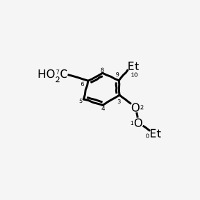 CCOOc1ccc(C(=O)O)cc1CC